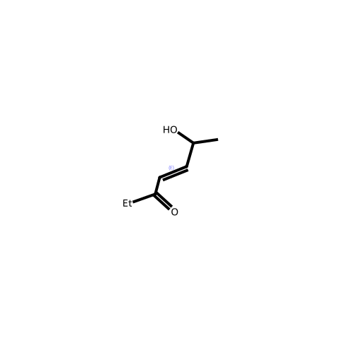 CCC(=O)/C=C/C(C)O